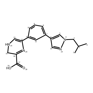 CC(C)Cn1cc(-c2cccc(C3=CNCC(C(=O)O)=N3)c2)cn1